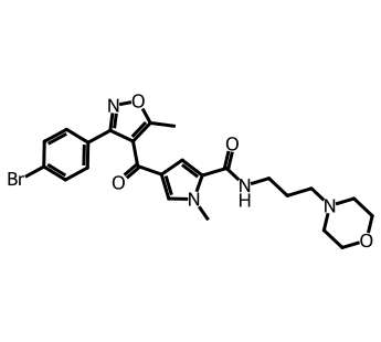 Cc1onc(-c2ccc(Br)cc2)c1C(=O)c1cc(C(=O)NCCCN2CCOCC2)n(C)c1